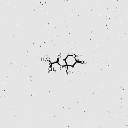 C=C(C)C(=O)OC1(C)CCOC(=O)C1